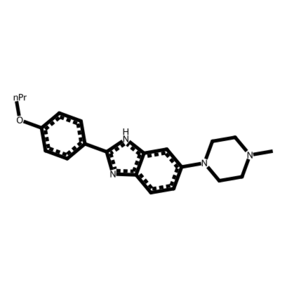 C[CH]COc1ccc(-c2nc3ccc(N4CCN(C)CC4)cc3[nH]2)cc1